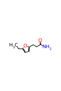 CCc1ccc(CCC(N)=O)o1